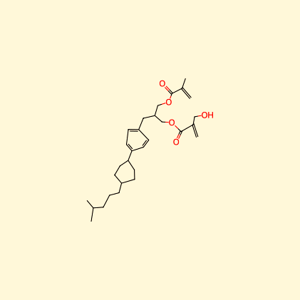 C=C(C)C(=O)OCC(COC(=O)C(=C)CO)Cc1ccc(C2CCC(CCCC(C)C)CC2)cc1